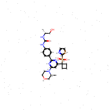 C[C@H](CO)NC(=O)Nc1ccc(-c2nc(N3CCOC[C@@H]3C)cc(C3(S(=O)(=O)c4nccs4)CCC3)n2)cc1